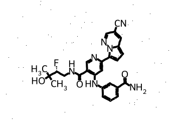 CC(C)(O)[C@H](F)CNC(=O)c1cnc(-c2ccc3cc(C#N)cnn23)cc1Nc1cccc(C(N)=O)c1